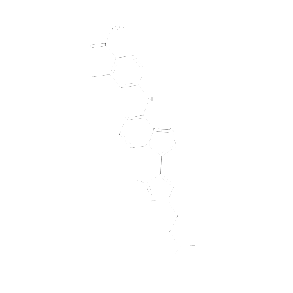 CNC(=O)c1ccc(Nc2nccn3c(-c4cn(CCN(C)C)nc4C(F)(F)F)cnc23)cc1Cl